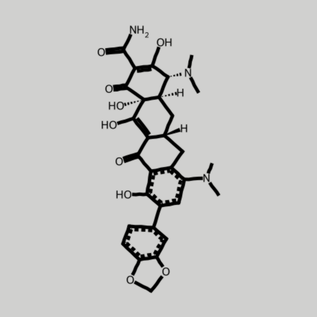 CN(C)c1cc(-c2ccc3c(c2)OCO3)c(O)c2c1C[C@H]1C[C@@H]3[C@@H](N(C)C)C(O)=C(C(N)=O)C(=O)[C@]3(O)C(O)=C1C2=O